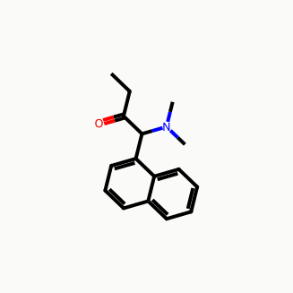 CCC(=O)C(c1cccc2ccccc12)N(C)C